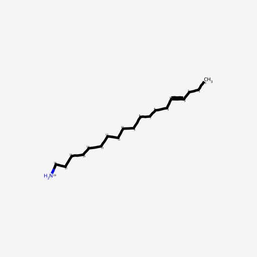 CCCC=CCCCCCCCCCCCCCCN